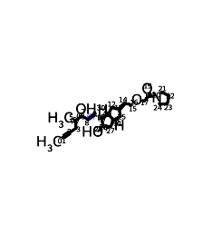 CC#CC[C@H](C)[C@@H](O)/C=C/[C@@H]1[C@H]2CC(=CCOCC(=O)N3CCCC3)C[C@H]2C[C@H]1O